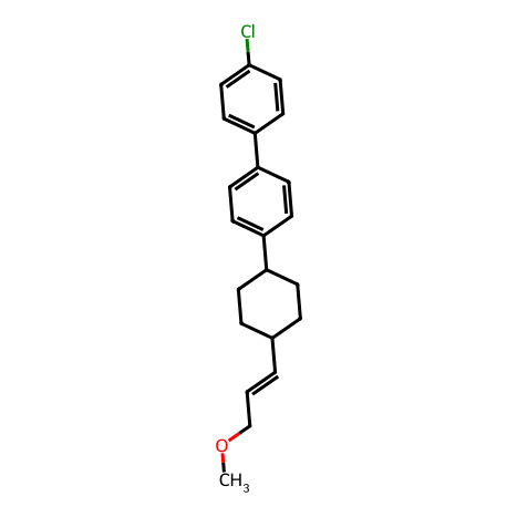 COCC=CC1CCC(c2ccc(-c3ccc(Cl)cc3)cc2)CC1